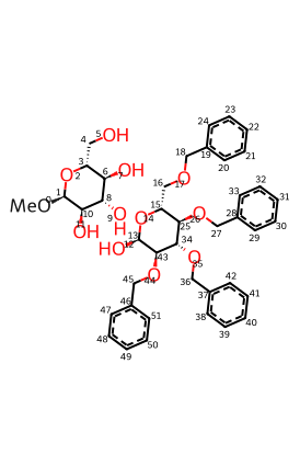 CO[C@H]1O[C@H](CO)[C@@H](O)[C@H](O)[C@H]1O.O[C@H]1O[C@H](COCc2ccccc2)[C@@H](OCc2ccccc2)[C@H](OCc2ccccc2)[C@H]1OCc1ccccc1